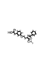 Cc1oc(-c2ccccc2)nc1CCOc1cccc(CC(=O)O)c1